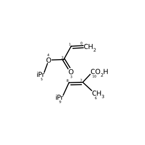 C=CC(=O)OC(C)C.CC(=CC(C)C)C(=O)O